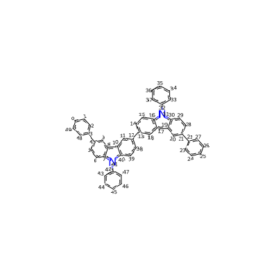 c1ccc(-c2ccc3c(c2)c2cc(-c4ccc5c(c4)c4cc(-c6ccccc6)ccc4n5-c4ccccc4)ccc2n3-c2ccccc2)cc1